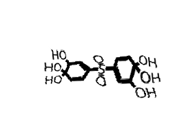 O=S(=O)(C1=CC(O)C(O)(O)C=C1)C1=CC(O)C(O)(O)C=C1